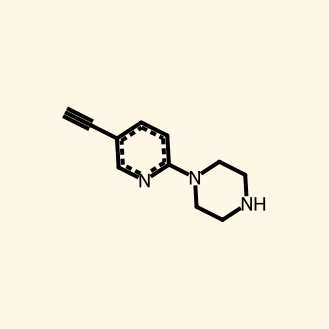 C#Cc1ccc(N2CCNCC2)nc1